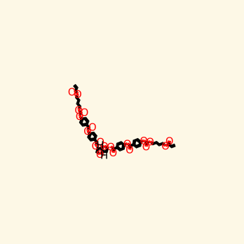 C=CC(=O)OCCCCOC(=O)Oc1ccc(C(=O)Oc2ccc(C(=O)O[C@@H]3C[C@H]4OC[C@@H](OC(=O)c5ccc(OC(=O)c6ccc(OC(=O)OCCCCOC(=O)C=C)cc6)cc5)[C@H]4O3)cc2)cc1